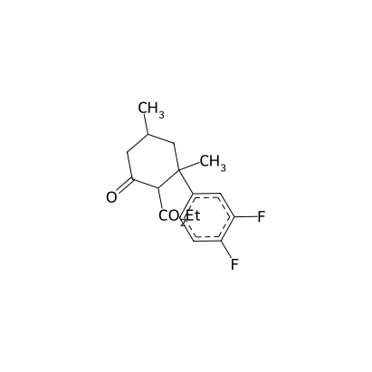 CCOC(=O)C1C(=O)CC(C)CC1(C)c1ccc(F)c(F)c1